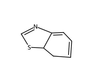 C1=CCC2SC=NC2=C1